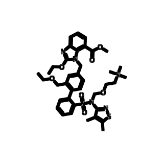 CCOCc1cc(Cn2c(OCC)nc3cccc(C(=O)OC)c32)ccc1-c1ccccc1S(=O)(=O)N(COCC[Si](C)(C)C)c1nsc(C)c1C